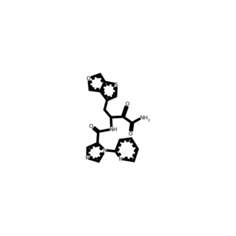 NC(=O)C(=O)C(Cc1csc2cocc12)NC(=O)c1cncn1-c1ccccn1